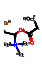 CCCCCCCCCC(=O)OC(C)[N+](CC)(CC)CC.[Br-]